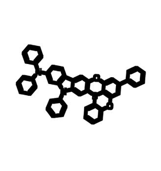 c1ccc(-c2cc3c4c(c2)Oc2cc5c6ccc(N(c7ccccc7)c7ccccc7)cc6n(-c6ccccc6)c5cc2B4c2ccccc2O3)cc1